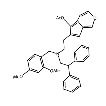 COc1ccc(CN(CCc2cc3coccc-3c2OC(C)=O)CC(c2ccccc2)c2ccccc2)c(OC)c1